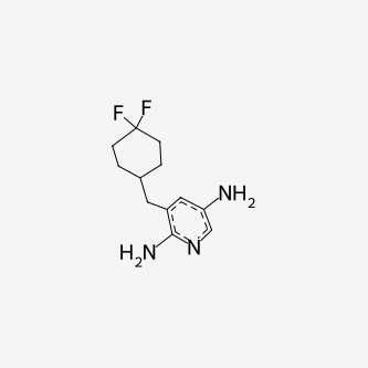 Nc1cnc(N)c(CC2CCC(F)(F)CC2)c1